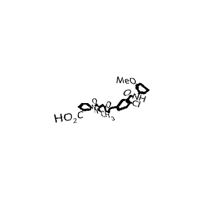 COc1cccc(NC(=O)c2cc(-c3ccc(/C=C4/C(=O)N(c5cccc(C(=O)O)c5)N=C4C)o3)ccc2Cl)c1